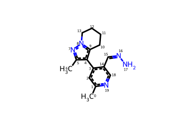 Cc1cc(-c2c(C)nn3c2CCCC3)c(/C=N\N)cn1